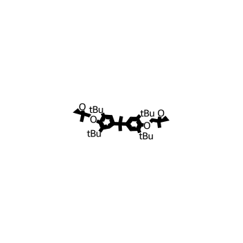 CC1(COc2c(C(C)(C)C)cc(C(C)(C)c3cc(C(C)(C)C)c(OCC4(C)CO4)c(C(C)(C)C)c3)cc2C(C)(C)C)CO1